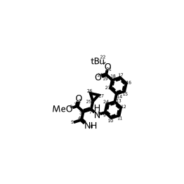 COC(=O)/C(C(C)=N)=C(/Nc1cccc(-c2cccc(C(=O)OC(C)(C)C)c2)c1)C1CC1